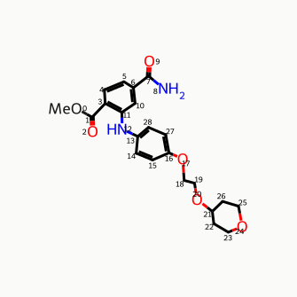 COC(=O)c1ccc(C(N)=O)cc1Nc1ccc(OCCOC2CCOCC2)cc1